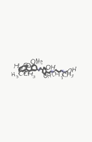 COc1cc(/C=C/c2cc(O)c(C/C=C(\C)CC/C=C(\C)CO)c(O)c2)cc2c1O[C@]1(C)CCCC(C)(C)[C@H]1C2